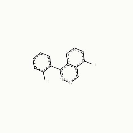 Cc1ccccc1-c1nncc2c(C)cccc12